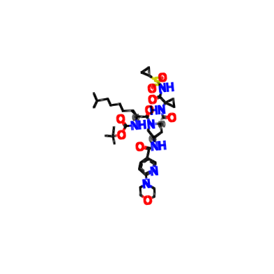 CC(C)CCCCC[C@H](NC(=O)OC(C)(C)C)C(=O)N1C[C@H](NC(=O)c2ccc(N3CCOCC3)nc2)C[C@H]1C(=O)NC1(C(=O)NS(=O)(=O)C2CC2)CC1